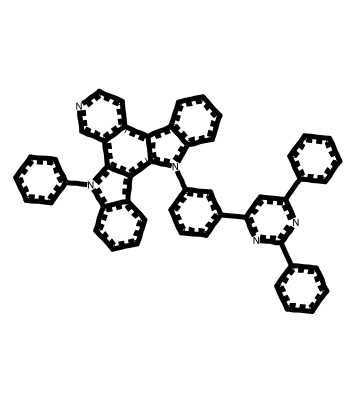 c1ccc(-c2cc(-c3cccc(-n4c5ccccc5c5c6ccncc6c6c(c7ccccc7n6-c6ccccc6)c54)c3)nc(-c3ccccc3)n2)cc1